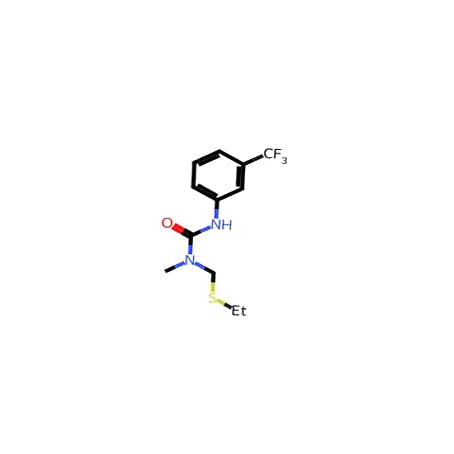 CCSCN(C)C(=O)Nc1cccc(C(F)(F)F)c1